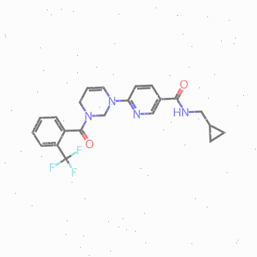 O=C(NCC1CC1)c1ccc(N2C=CCN(C(=O)c3ccccc3C(F)(F)F)C2)nc1